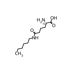 CCCCCCNC(=O)CCC[C@H](N)C(=O)O